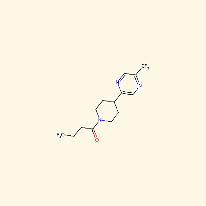 O=C(CCC(F)(F)F)N1CCC(c2cnc(C(F)(F)F)cn2)CC1